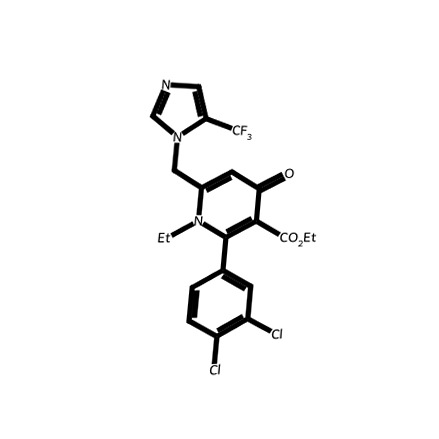 CCOC(=O)c1c(-c2ccc(Cl)c(Cl)c2)n(CC)c(Cn2cncc2C(F)(F)F)cc1=O